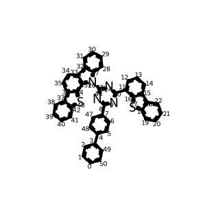 c1ccc(-c2ccc(-c3nc(-c4cccc5c4sc4ccccc45)nc(-n4c5ccccc5c5ccc6c7ccccc7sc6c54)n3)cc2)cc1